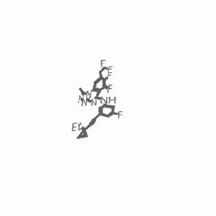 CCC1(C#Cc2cc(F)cc(Nc3nc4nnc(C)n4c4cc(CC(F)F)c(F)c(F)c34)c2)CC1